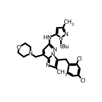 Cc1cc(Nc2cc(CN3CCOCC3)c3nc(C)c(Cc4ccc(Cl)cc4Cl)n3n2)n(C(C)(C)C)n1